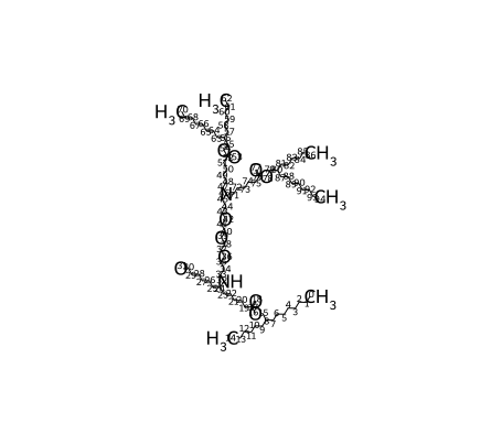 CCCCCCCCC(CCCCCC)COC(=O)CCCCCC(CCCCCC=O)NCCCOCCOCCOCCCN(CCCCCC(=O)OCC(CCCCCC)CCCCCCCC)CCCCCC(=O)OCC(CCCCCC)CCCCCCCC